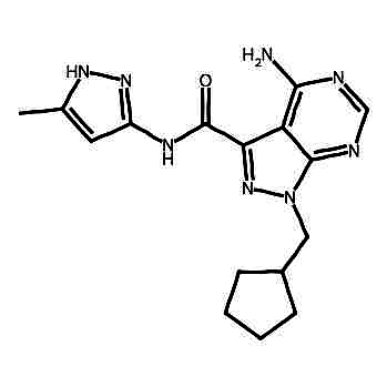 Cc1cc(NC(=O)c2nn(CC3CCCC3)c3ncnc(N)c23)n[nH]1